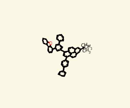 CC(C)(C)c1cc2ccc3c(-c4ccc(-c5ccccc5)cc4)cc(-c4cc(-c5ccccc5)cc(-c5cccc6c5oc5ccccc56)c4)c4ccc(c1)c2c34